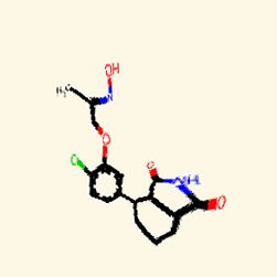 CC(COc1cc(C2CCCC3=C2C(=O)NC3=O)ccc1Cl)=NO